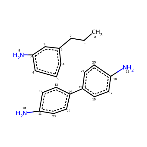 CCCc1cccc(N)c1.Nc1ccc(-c2ccc(N)cc2)cc1